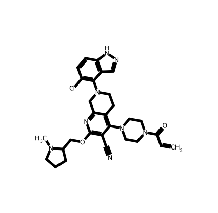 C=CC(=O)N1CCN(c2c(C#N)c(OCC3CCCN3C)nc3c2CCN(c2c(Cl)ccc4[nH]ncc24)C3)CC1